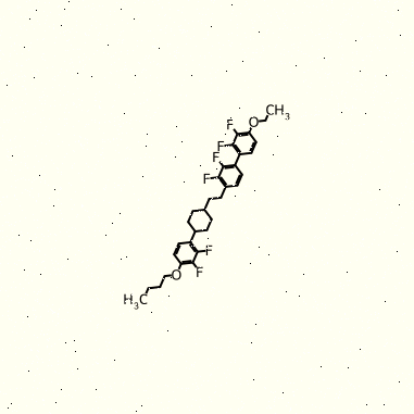 CCCCOc1ccc(C2CCC(CCc3ccc(-c4ccc(OCC)c(F)c4F)c(F)c3F)CC2)c(F)c1F